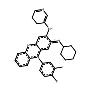 Fc1ccc(-n2c3c/c(=N\C4CCCCC4)c(NC4=CN=CCC4)cc-3nc3ccccc32)cc1F